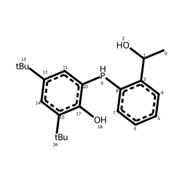 CC(O)c1ccccc1Pc1cc(C(C)(C)C)cc(C(C)(C)C)c1O